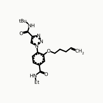 C=CCCCOc1cc(C(=O)NCC)ccc1-n1cc(C(=O)NC(C)(C)C)nn1